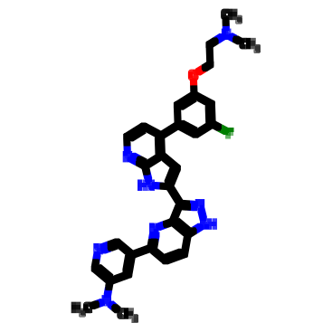 CN(C)CCOc1cc(F)cc(-c2ccnc3[nH]c(-c4n[nH]c5ccc(-c6cncc(N(C)C)c6)nc45)cc23)c1